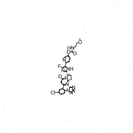 COCCNC(=O)Oc1ccc(-c2[nH]c([C@@H]3CCc4nc(-c5cc(Cl)ccc5-n5cnnn5)cc(=O)n43)nc2F)nc1